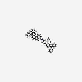 CC1(C)C2CC(/C=C/c3ccc4ccc5c(N6c7ccccc7Cc7ccccc76)ccc6ccc3c4c65)=CC=C2C2C=CC(N3C4=C(CCC=C4)Cc4ccccc43)=CC21